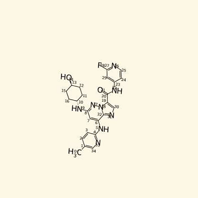 Cc1ccc(Nc2cc(N[C@H]3CC[C@H](O)CC3)nn3c(C(=O)Nc4ccnc(F)c4)cnc23)nc1